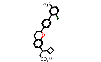 Cc1ccc(F)c(-c2ccc(C3CCc4ccc([C@H](CC(=O)O)C5CCC5)cc4O3)cc2)c1